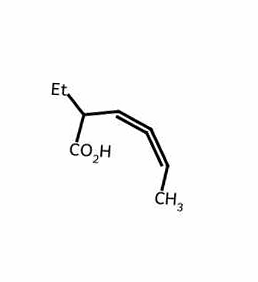 CC=C=CC(CC)C(=O)O